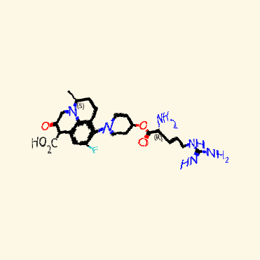 C[C@H]1CCc2c(N3CCC(OC(=O)[C@H](N)CCCNC(=N)N)CC3)c(F)cc3c2N1CC(=O)C3C(=O)O